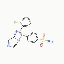 NS(=O)(=O)c1ccc(-c2c(-c3ccccc3F)nc3cnccn23)cc1